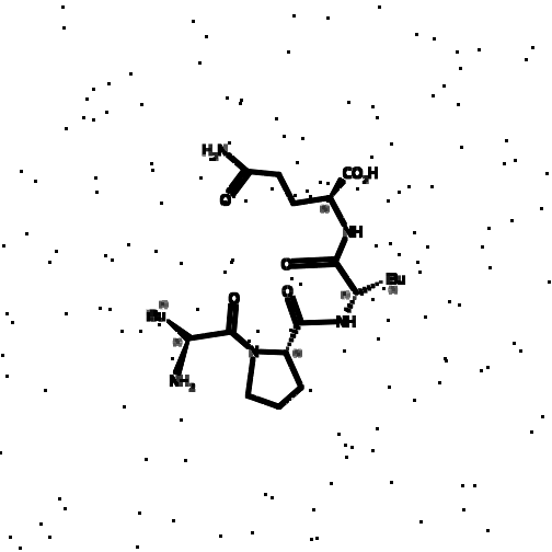 CC[C@H](C)[C@H](N)C(=O)N1CCC[C@H]1C(=O)N[C@H](C(=O)N[C@@H](CCC(N)=O)C(=O)O)[C@@H](C)CC